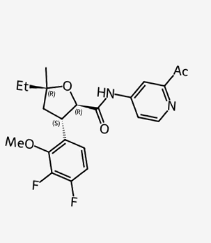 CC[C@]1(C)C[C@@H](c2ccc(F)c(F)c2OC)[C@H](C(=O)Nc2ccnc(C(C)=O)c2)O1